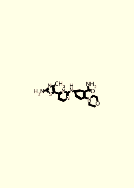 Cc1nc(N)sc1-c1ccnc(Nc2ccc(N3CCOCC3)c(C(N)=O)c2)n1